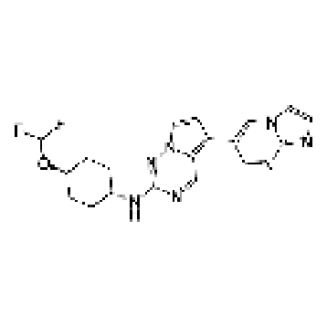 FC(F)O[C@H]1CC[C@H](Nc2ncc3c(-c4cnc5nccn5c4)ccn3n2)CC1